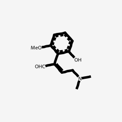 COc1cccc(O)c1/C(C=O)=C\CN(C)C